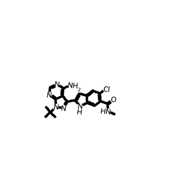 CNC(=O)c1cc2[nH]c(-c3nn(C(C)(C)C)c4ncnc(N)c34)cc2cc1Cl